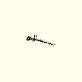 CCCCCCCCCCCCCCCCCCNC(=O)CCSc1ccccn1